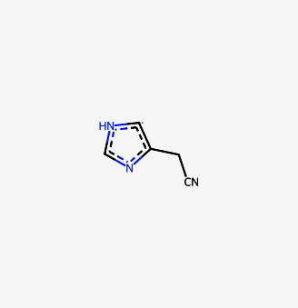 N#CCc1[c][nH]cn1